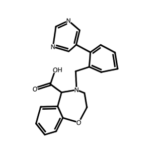 O=C(O)C1c2ccccc2OCCN1Cc1ccccc1-c1cncnc1